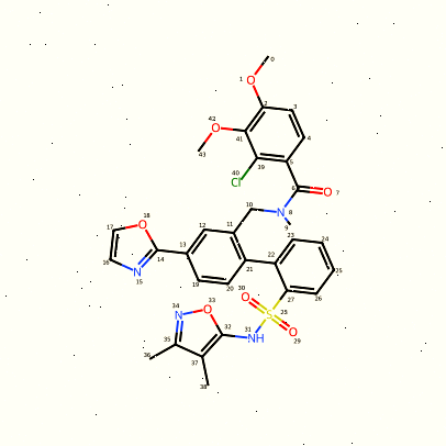 COc1ccc(C(=O)N(C)Cc2cc(-c3ncco3)ccc2-c2ccccc2S(=O)(=O)Nc2onc(C)c2C)c(Cl)c1OC